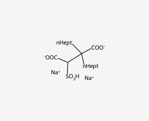 CCCCCCCC(CCCCCCC)(C(=O)[O-])C(C(=O)[O-])S(=O)(=O)O.[Na+].[Na+]